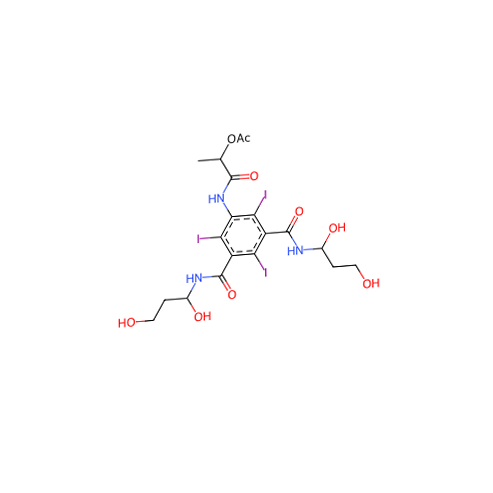 CC(=O)OC(C)C(=O)Nc1c(I)c(C(=O)NC(O)CCO)c(I)c(C(=O)NC(O)CCO)c1I